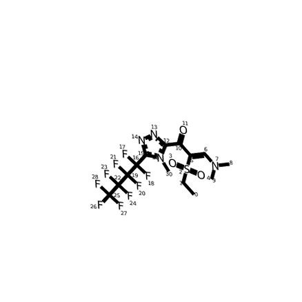 CCS(=O)(=O)C(=CN(C)C)C(=O)c1nnc(C(F)(F)C(F)(F)C(F)(F)C(F)(F)F)n1C